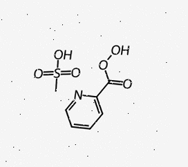 CS(=O)(=O)O.O=C(OO)c1ccccn1